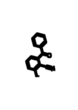 [CH2]c1cccc(C(=O)c2ccccc2)c1C#N